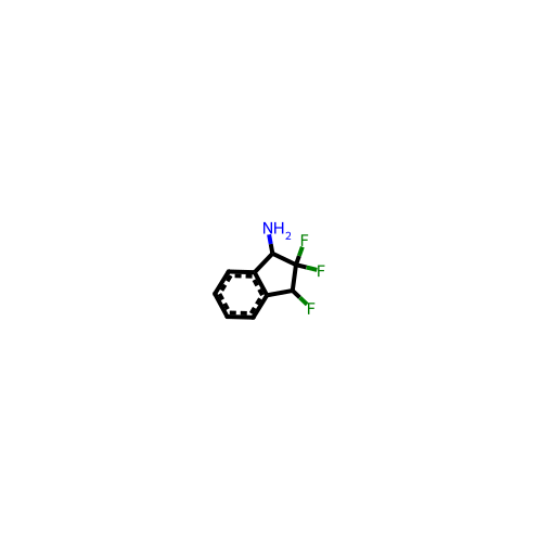 NC1c2ccccc2C(F)C1(F)F